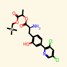 CC(OC(=O)[C@@H](N)Cc1ccc(-c2ncc(Cl)cc2Cl)cc1O)C(=O)OC[Si](C)(C)C